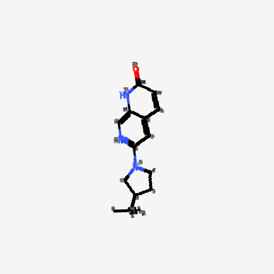 C[SiH2]C1CCN(c2cc3ccc(=O)[nH]c3cn2)C1